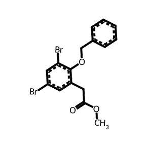 COC(=O)Cc1cc(Br)cc(Br)c1OCc1ccccc1